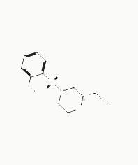 Cl.N#Cc1ccccc1S(=O)(=O)N1CCO[C@H](CN)C1